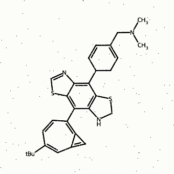 CN(C)CC1=CCC(c2c3c(c(C4=C5C=C5C=C(C(C)(C)C)C=C4)c4scnc24)NCS3)C=C1